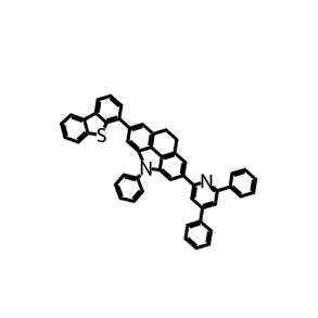 c1ccc(-c2cc(-c3ccccc3)nc(-c3cc4c5c6c(cc(-c7cccc8c7sc7ccccc78)cc6n(-c6ccccc6)c5c3)CC4)c2)cc1